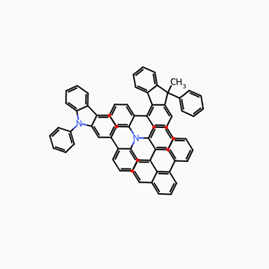 CC1(c2ccccc2)c2ccccc2-c2c(-c3ccccc3N(c3ccccc3-c3ccc4c5ccccc5n(-c5ccccc5)c4c3)c3ccccc3-c3cccc4cccc(-c5ccccc5)c34)cccc21